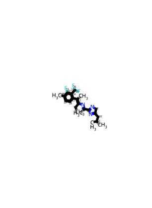 CCC(/N=C(\C)C1=NCC(CC(C)C)=N1)=C(/C)c1ccc(C)c(F)c1C(F)F